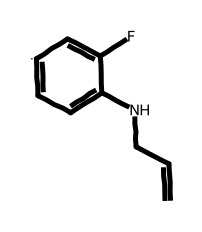 C=CCNc1cc[c]cc1F